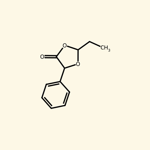 CCC1OC(=O)C(c2ccccc2)O1